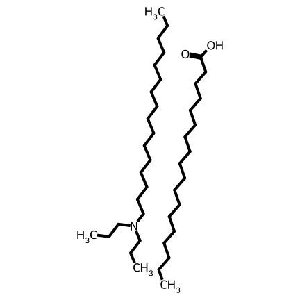 CCCCCCCCCCCCCCCCCC(=O)O.CCCCCCCCCCCCCCCCN(CCC)CCC